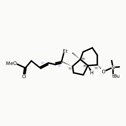 CC/C(=C\C=C\CC(=O)OC)[C@H]1CC[C@H]2[C@@H](O[Si](C)(C)C(C)(C)C)CCC[C@]12C